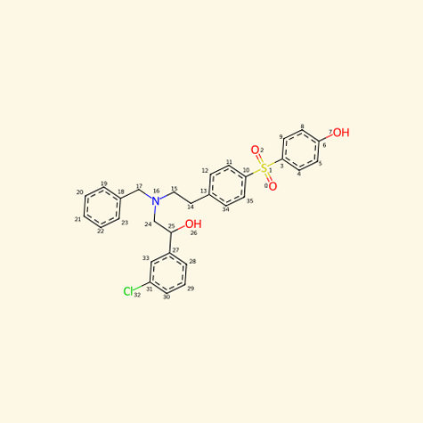 O=S(=O)(c1ccc(O)cc1)c1ccc(CCN(Cc2ccccc2)CC(O)c2cccc(Cl)c2)cc1